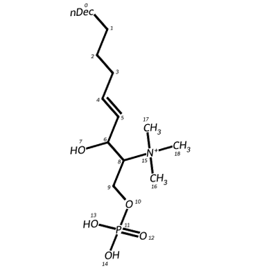 CCCCCCCCCCCCCC=CC(O)C(COP(=O)(O)O)[N+](C)(C)C